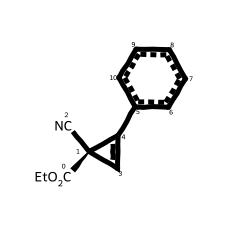 CCOC(=O)[C@]1(C#N)C=C1c1ccccc1